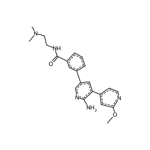 COc1cc(-c2cc(-c3cccc(C(=O)NCCN(C)C)c3)cnc2N)ccn1